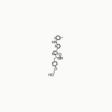 CC(=O)N[C@@H](Cc1ccc(OCCO)cc1)c1ncc(-c2cccc(Nc3cc(C)ccn3)n2)s1